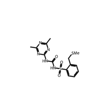 CSCc1ccccc1S(=O)(=O)NC(=O)Nc1nc(C)nc(C)n1